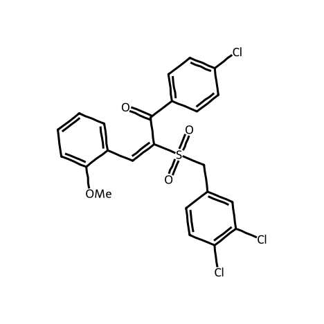 COc1ccccc1/C=C(\C(=O)c1ccc(Cl)cc1)S(=O)(=O)Cc1ccc(Cl)c(Cl)c1